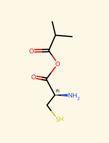 CC(C)C(=O)OC(=O)[C@@H](N)CS